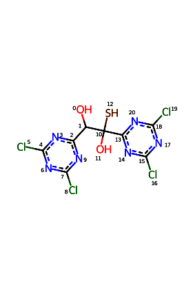 OC(c1nc(Cl)nc(Cl)n1)C(O)(S)c1nc(Cl)nc(Cl)n1